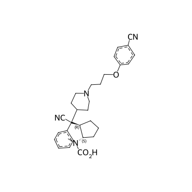 CN(C(=O)O)[C@H]1CCC[C@@H]1C(C#N)(c1ccccc1)C1CCN(CCCOc2ccc(C#N)cc2)CC1